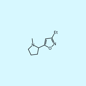 CCc1cc(C2CCCN2C)on1